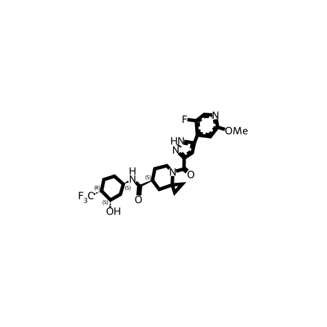 COc1cc(-c2cc(C(=O)N3CC[C@H](C(=O)N[C@H]4CC[C@@H](C(F)(F)F)[C@@H](O)C4)CC34CC4)n[nH]2)c(F)cn1